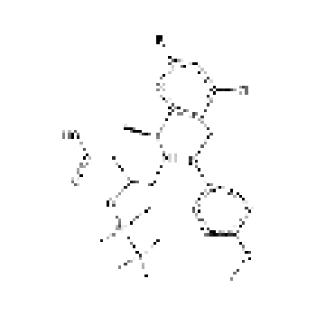 COc1ccc(OCc2c(Cl)cc(F)cc2[C@H](C)NCC(CC(=O)O)O[Si](C)(C)C(C)(C)C)cc1